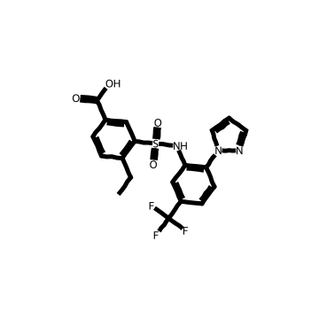 CCc1ccc(C(=O)O)cc1S(=O)(=O)Nc1cc(C(F)(F)F)ccc1-n1cccn1